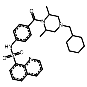 CC1CN(CC2CCCCC2)CC(C)N1C(=O)c1ccc(NS(=O)(=O)c2cccc3cccnc23)cc1